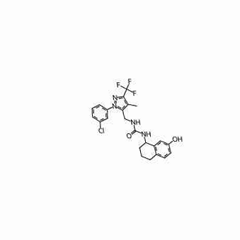 Cc1c(C(F)(F)F)nn(-c2cccc(Cl)c2)c1CNC(=O)NC1CCCc2ccc(O)cc21